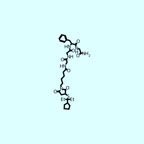 CCC(CC)(SC1CC(=O)N(CCCCCC(=O)NCC(=O)NCC(=O)NC(Cc2ccccc2)C(=O)NCC(N)=O)C1=O)C1CCCC1